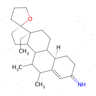 CC[C@]12CCC3C(C(C)C(C)C4=CC(=N)CC[C@@H]43)C1CC[C@@]21CCCO1